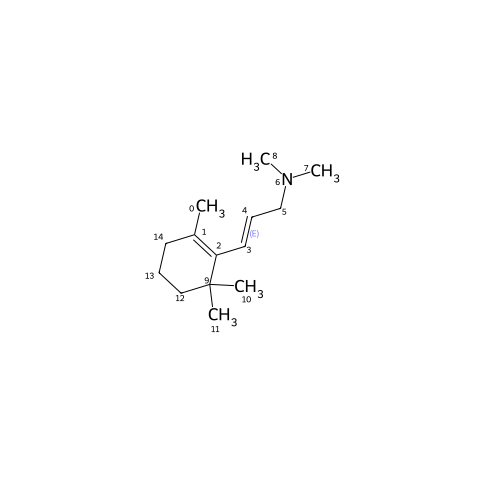 CC1=C(/C=C/CN(C)C)C(C)(C)CCC1